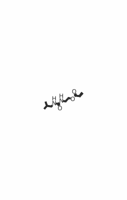 C=CC(=O)OCCNC(=O)NCC(C)C